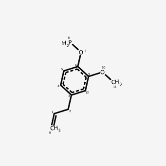 C=CCc1ccc(OP)c(OC)c1